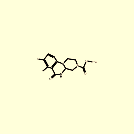 Cc1c(F)ccc2c1C(=O)NC1CN(C(=O)OC(C)(C)C)CCN21